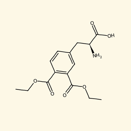 CCOC(=O)c1ccc(C[C@H](N)C(=O)O)cc1C(=O)OCC